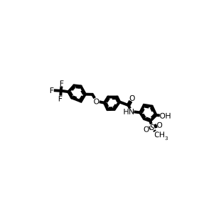 CS(=O)(=O)c1cc(NC(=O)c2ccc(OCc3ccc(C(F)(F)F)cc3)cc2)ccc1O